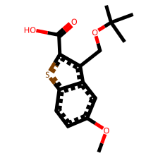 COc1ccc2sc(C(=O)O)c(COC(C)(C)C)c2c1